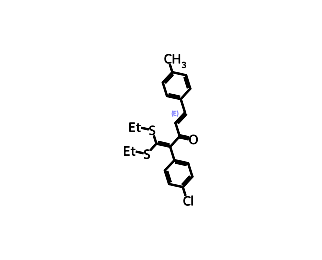 CCSC(SCC)=C(C(=O)/C=C/c1ccc(C)cc1)c1ccc(Cl)cc1